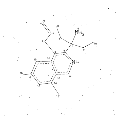 C=CCc1c(C(N)(CC)CC)ncc2c(C)cc(C)cc12